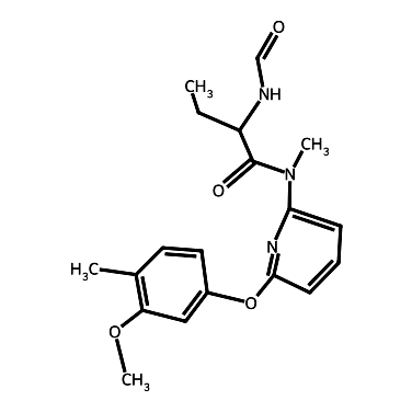 CCC(NC=O)C(=O)N(C)c1cccc(Oc2ccc(C)c(OC)c2)n1